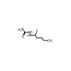 CCCCC(F)NNC(N)=S